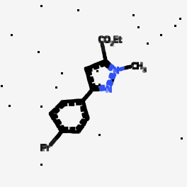 CCOC(=O)c1cc(-c2ccc(C(C)C)cc2)nn1C